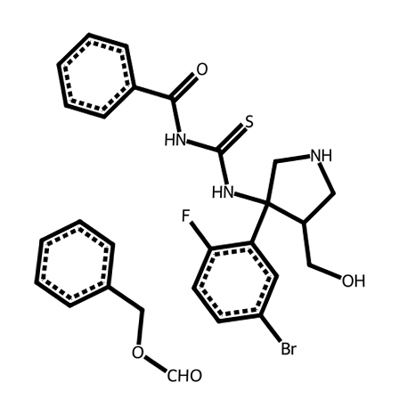 O=C(NC(=S)NC1(c2cc(Br)ccc2F)CNCC1CO)c1ccccc1.O=COCc1ccccc1